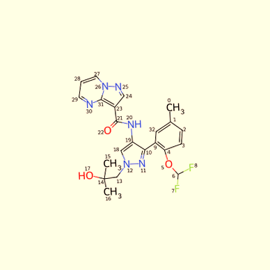 Cc1ccc(OC(F)F)c(-c2nn(CC(C)(C)O)cc2NC(=O)c2cnn3cccnc23)c1